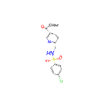 COC(=O)c1ccc(CNS(=O)(=O)c2ccc(Cl)cc2)nc1